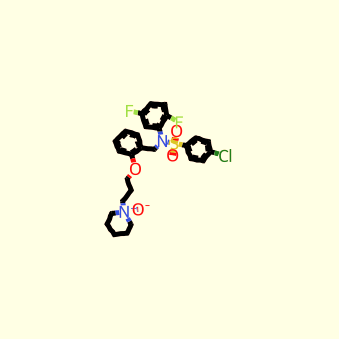 O=S(=O)(c1ccc(Cl)cc1)N(Cc1ccccc1OCCC[N+]1([O-])CCCCC1)c1cc(F)ccc1F